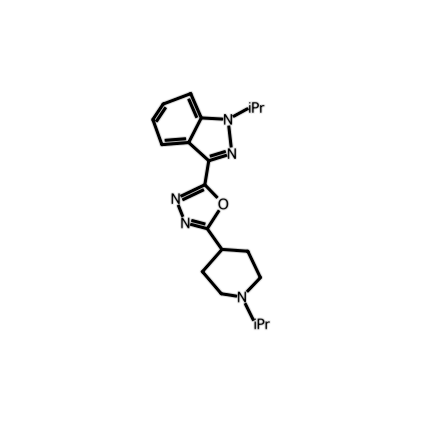 CC(C)N1CCC(c2nnc(-c3nn(C(C)C)c4ccccc34)o2)CC1